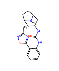 Cc1noc(-c2ccccc2NC(=O)NC2CC3CCC(C2)N3C)n1